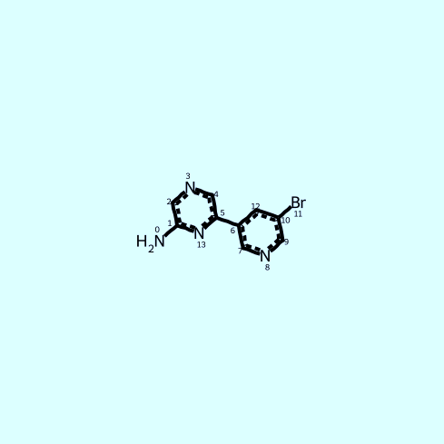 Nc1cncc(-c2cncc(Br)c2)n1